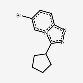 Brc1ccc2nnc(C3CCCC3)n2c1